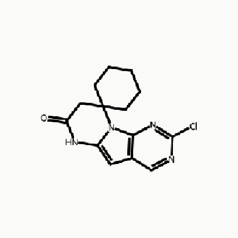 O=C1CC2(CCCCC2)n2c(cc3cnc(Cl)nc32)N1